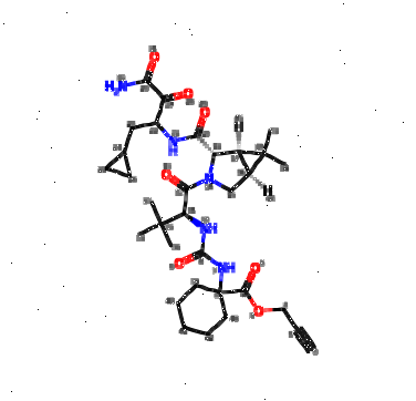 C#CCOC(=O)C1(NC(=O)N[C@H](C(=O)N2C[C@H]3[C@@H]([C@H]2C(=O)NC(CC2CC2)C(=O)C(N)=O)C3(C)C)C(C)(C)C)CCCCC1